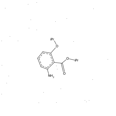 CC(C)OC(=O)c1c(N)cccc1OC(C)C